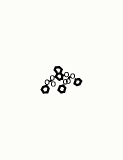 O=C(Oc1ccccc1)Oc1cc(Oc2ccccc2)c(OC(=O)Oc2ccccc2)c2ccccc12